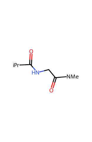 CNC(=O)CNC(=O)C(C)C